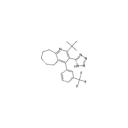 CC(C)(C)c1nc2c(c(-c3cccc(C(F)(F)F)c3)c1-c1nnn[nH]1)CCCCC2